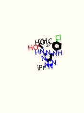 CC(O)CNc1nc(Nc2ccc(Cl)c(C(=O)O)c2)c2nnn(C(C)C)c2n1